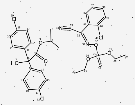 CC(C)OC(=O)C(O)(c1ccc(Cl)cc1)c1ccc(Cl)cc1.CCOP(=S)(OCC)O/N=C(/C#N)c1ccccc1Cl